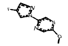 COc1cnc(-n2cc(F)cn2)cn1